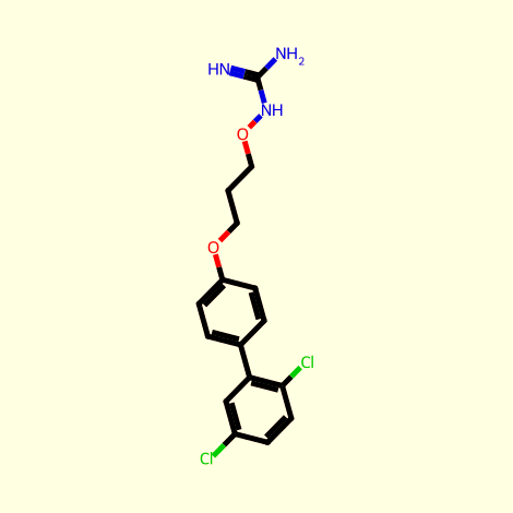 N=C(N)NOCCCOc1ccc(-c2cc(Cl)ccc2Cl)cc1